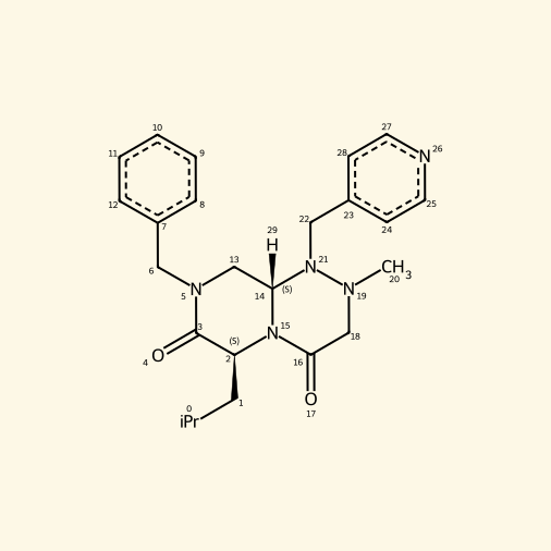 CC(C)C[C@H]1C(=O)N(Cc2ccccc2)C[C@H]2N1C(=O)CN(C)N2Cc1ccncc1